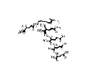 CC/C=C\CC/C=C\C(N)=O.NC(CCC(=O)O)C(=O)O.NC(CCC(=O)O)C(=O)O.NC(CCC(=O)O)C(=O)O.N[C@@H](CCC(=O)O)C(=O)O.N[C@@H](CCC(=O)O)C(=O)O.[KH].[NaH]